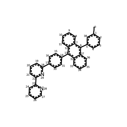 Cc1cccc(-c2c3ccccc3c(-c3ccc(-c4cccc(-c5ccccn5)n4)cc3)c3ccccc23)c1